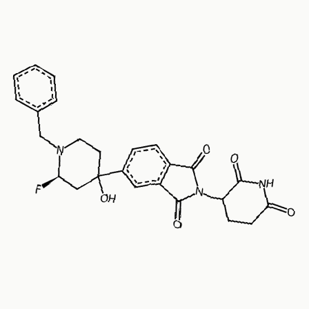 O=C1CCC(N2C(=O)c3ccc(C4(O)CCN(Cc5ccccc5)[C@H](F)C4)cc3C2=O)C(=O)N1